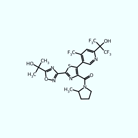 CC1CCCN1C(=O)c1nc(-c2noc(C(C)(C)O)n2)sc1-c1cnc(C(O)(C(F)(F)F)C(F)(F)F)cc1C(F)(F)F